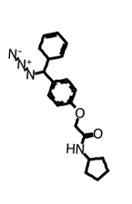 [N-]=[N+]=NC(c1ccc(OCC(=O)NC2CCCC2)cc1)C1C=CC=CC1